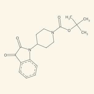 CC(C)(C)OC(=O)N1CCC(N2C(=O)C(=O)c3ccccc32)CC1